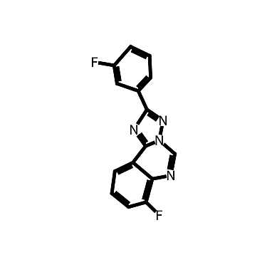 Fc1cccc(-c2nc3c4cccc(F)c4ncn3n2)c1